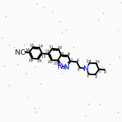 CC1CCN(CCc2cc3ccc(-c4ccc(C#N)cc4)cc3nn2)CC1